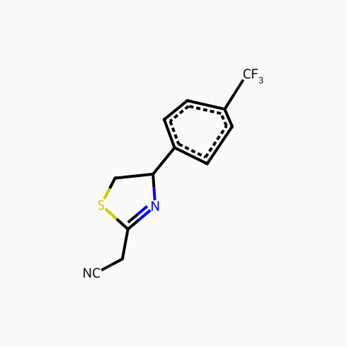 N#CCC1=NC(c2ccc(C(F)(F)F)cc2)CS1